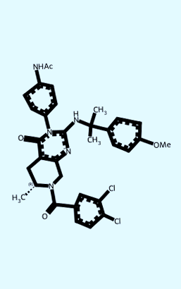 COc1ccc(C(C)(C)Nc2nc3c(c(=O)n2-c2ccc(NC(C)=O)cc2)C[C@@H](C)N(C(=O)c2ccc(Cl)c(Cl)c2)C3)cc1